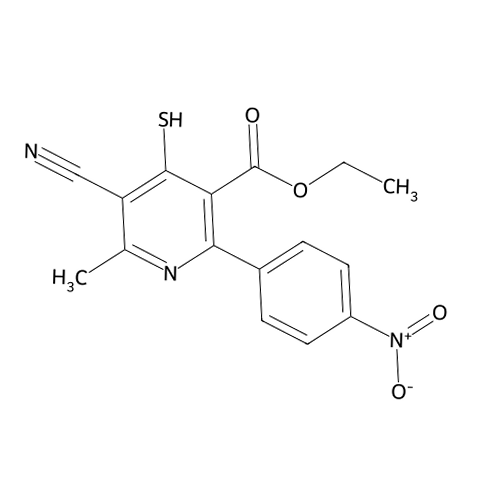 CCOC(=O)c1c(-c2ccc([N+](=O)[O-])cc2)nc(C)c(C#N)c1S